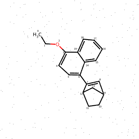 CCOc1ccc(C2=CC3CCC2C3)c2ccccc12